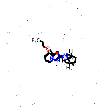 Cc1ncc(N2C[C@H]3CC[C@@H](C2)[C@@H]3Nc2nc3c(OCCC(F)(F)F)cccn3n2)s1